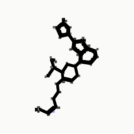 C[S+]([O-])C1CC(c2ccnc3[nH]c(-c4cn[nH]c4)nc23)CC=C1CCC/N=C\N